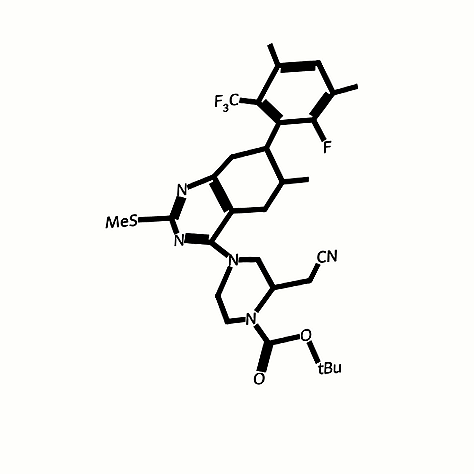 CSc1nc2c(c(N3CCN(C(=O)OC(C)(C)C)C(CC#N)C3)n1)CC(C)C(c1c(F)c(C)cc(C)c1C(F)(F)F)C2